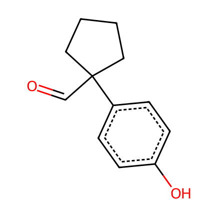 O=CC1(c2ccc(O)cc2)CCCC1